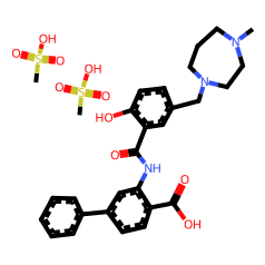 CN1CCCN(Cc2ccc(O)c(C(=O)Nc3cc(-c4ccccc4)ccc3C(=O)O)c2)CC1.CS(=O)(=O)O.CS(=O)(=O)O